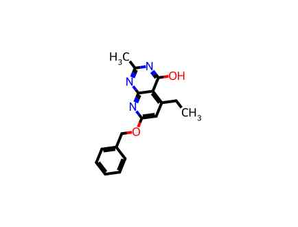 CCc1cc(OCc2ccccc2)nc2nc(C)nc(O)c12